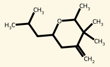 C=C1CC(CC(C)C)OC(C)C1(C)C